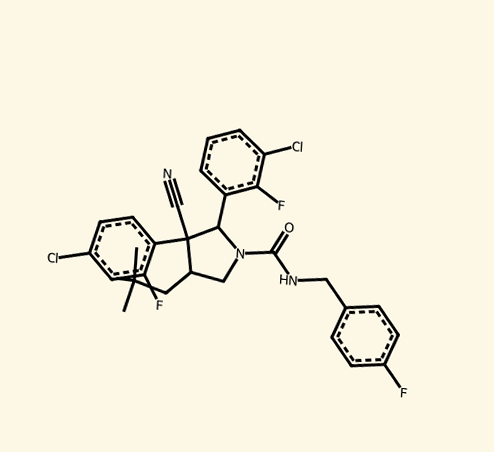 CC(C)(C)CC1CN(C(=O)NCc2ccc(F)cc2)C(c2cccc(Cl)c2F)C1(C#N)c1ccc(Cl)cc1F